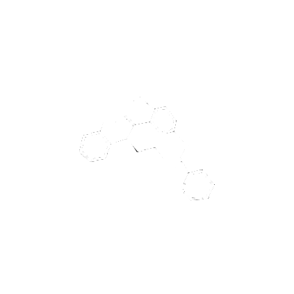 Cc1ccccc1[C@H](CCC(=O)O)C(=O)c1cc(OCc2ccccc2)ccc1O